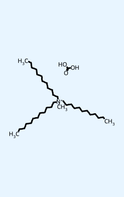 CCCCCCCCCCCC[N+](C)(CCCCCCCCCCCC)CCCCCCCCCCCC.O=C(O)O